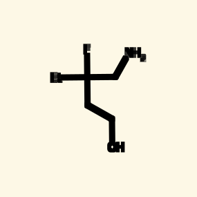 CCC(F)(CN)CCO